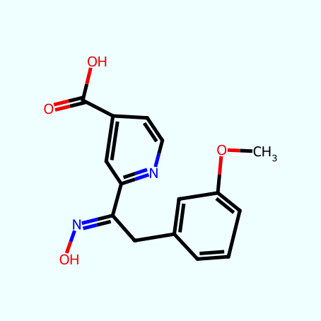 COc1cccc(C/C(=N\O)c2cc(C(=O)O)ccn2)c1